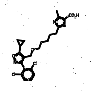 Cc1nc(CCCCCOCc2c(-c3c(Cl)cccc3Cl)noc2C2CC2)sc1C(=O)O